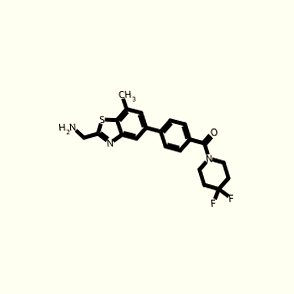 Cc1cc(-c2ccc(C(=O)N3CCC(F)(F)CC3)cc2)cc2nc(CN)sc12